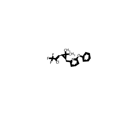 CC1(C)[C@H](C=C(Cl)C(F)(F)F)[C@@H]1Cc1cccc(Oc2ccccc2)n1